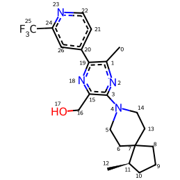 Cc1nc(N2CCC3(CCC[C@H]3C)CC2)c(CO)nc1-c1ccnc(C(F)(F)F)c1